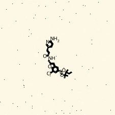 CCC1(C)OB(c2cc(Cl)c3oc(CNC(=O)/C=C/c4ccc(N)nc4)cc3c2)OC1(C)C